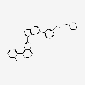 Fc1ccccc1-c1cncc2[nH]c(-c3n[nH]c4ccc(-c5cncc(CNCC6CCCC6)c5)nc34)nc12